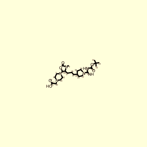 CN1C(=O)OC(N2CCN(CC(=O)O)CC2)C1CCCC1CCN(C(=N)NC(=O)OC(C)(C)C)CC1